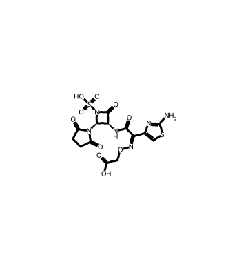 Nc1nc(/C(=N/OCC(=O)O)C(=O)N[C@@H]2C(=O)N(S(=O)(=O)O)[C@@H]2N2C(=O)CCC2=O)cs1